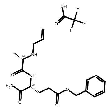 C=CCN[C@@H](C)C(=O)N[C@H](CCC(=O)OCc1ccccc1)C(N)=O.O=C(O)C(F)(F)F